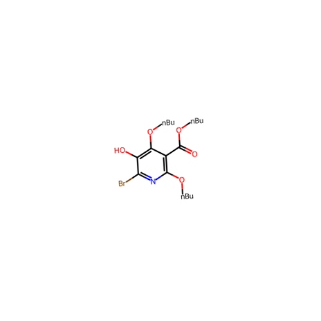 CCCCOC(=O)c1c(OCCCC)nc(Br)c(O)c1OCCCC